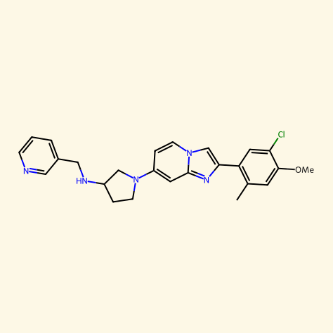 COc1cc(C)c(-c2cn3ccc(N4CCC(NCc5cccnc5)C4)cc3n2)cc1Cl